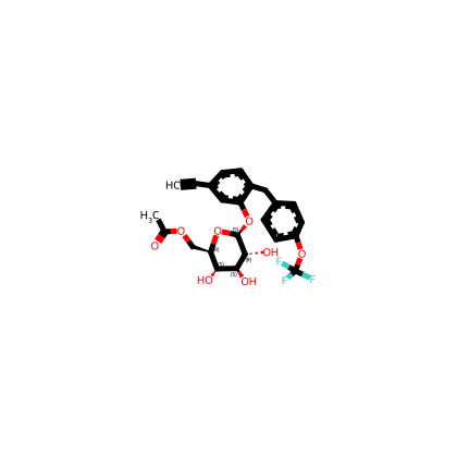 C#Cc1ccc(Cc2ccc(OC(F)(F)F)cc2)c(O[C@@H]2O[C@H](COC(C)=O)[C@@H](O)[C@H](O)[C@H]2O)c1